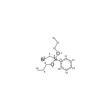 CCCO[Si](CBr)(OCCC)c1ccccc1